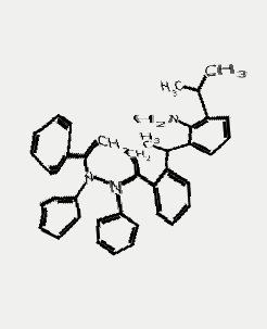 C=C(c1ccccc1)N(c1ccccc1)N(C(=C)c1ccccc1C(C)c1cccc(C(C)C)c1N)c1ccccc1